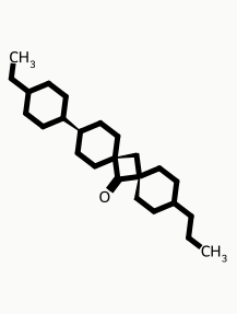 CCCC1CC[C@]2(CC1)C[C@@]1(CC[C@H](C3CCC(CC)CC3)CC1)C2=O